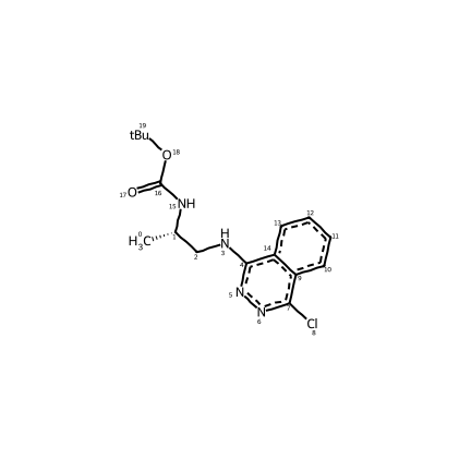 C[C@@H](CNc1nnc(Cl)c2ccccc12)NC(=O)OC(C)(C)C